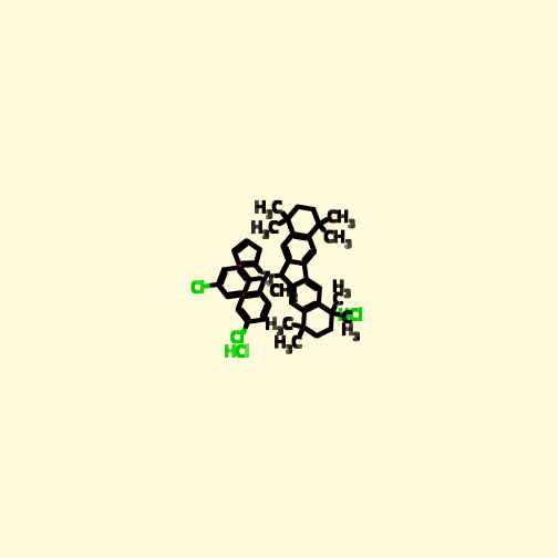 Cl.Cl.[CH2]=[Zr]([C]1=CC=CC1)([c]1ccc(Cl)cc1)([c]1ccc(Cl)cc1)[CH]1c2cc3c(cc2-c2cc4c(cc21)C(C)(C)CCC4(C)C)C(C)(C)CCC3(C)C